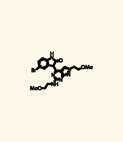 COCCNc1nc(C2C(=O)Nc3ccc(Br)cc32)c2cn(CCOC)nc2n1